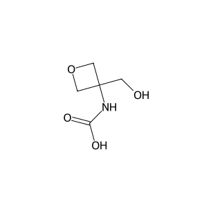 O=C(O)NC1(CO)COC1